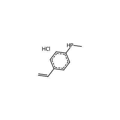 C=Cc1ccc(PC)cc1.Cl